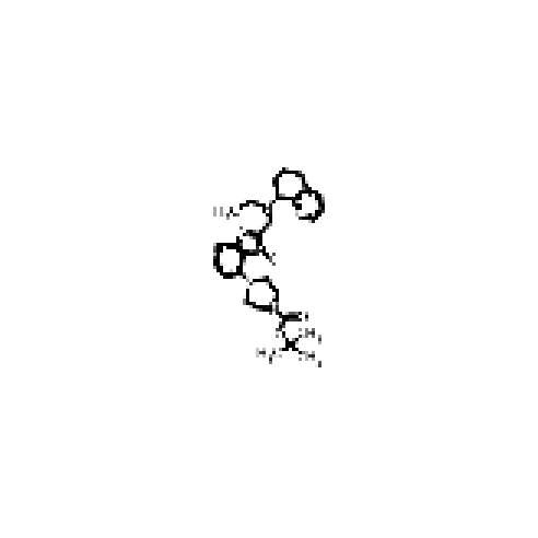 CCN(Cc1nc2cccc(N3CCN(C(=O)OC(C)(C)C)CC3)c2n1C)[C@H]1CCCc2cccnc21